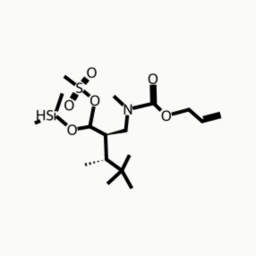 C=CCOC(=O)N(C)C[C@H](C(O[SiH](C)C)OS(C)(=O)=O)[C@@H](C)C(C)(C)C